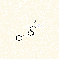 CCC[C@H](CN)[C@@H](O)c1cccc(OCC2CCCCC2)c1